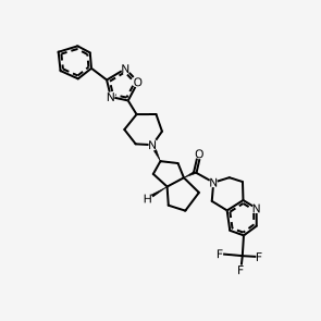 O=C(N1CCc2ncc(C(F)(F)F)cc2C1)[C@@]12CCC[C@@H]1C[C@@H](N1CCC(c3nc(-c4ccccc4)no3)CC1)C2